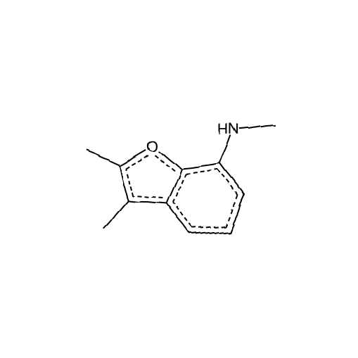 CNc1cccc2c(C)c(C)oc12